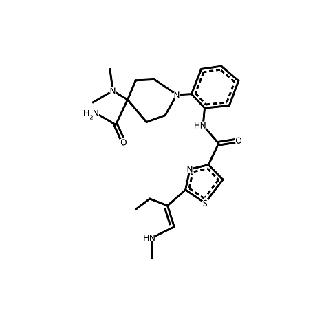 CC/C(=C\NC)c1nc(C(=O)Nc2ccccc2N2CCC(C(N)=O)(N(C)C)CC2)cs1